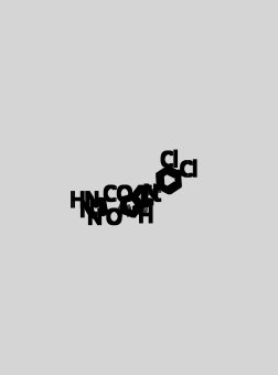 CCOC(=O)c1[nH]nnc1O[C@@H]1CC2CN(c3ccc(Cl)c(Cl)c3)C[C@H]2C1